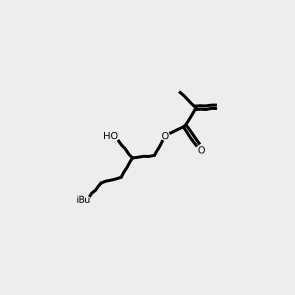 C=C(C)C(=O)OCC(O)CCC(C)CC